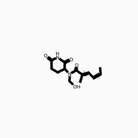 C/C=C\C=C(/C)C(=O)N(CO)C1CCC(=O)NC1=O